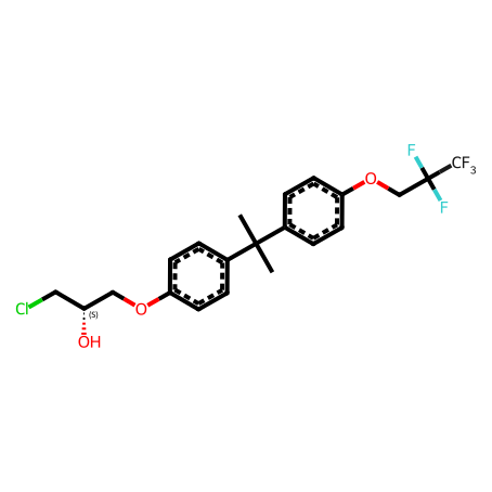 CC(C)(c1ccc(OC[C@H](O)CCl)cc1)c1ccc(OCC(F)(F)C(F)(F)F)cc1